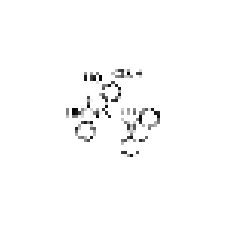 CN(c1ccc(C(=O)O)c(O)c1)n1c(=S)[nH]c2ccccc21.O=C(O)CN1C2=CC=CCC2=Cc2ccccc21